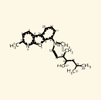 Cc1ccc2c(n1)oc1c(N(C)/C=C\C(C)C(O)CC(C)C)cccc12